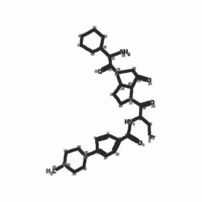 CC(C)CC(NC(=O)c1ccc(N2CCN(C)CC2)cc1)C(=O)N1CCC2C1C(=O)CN2C(=O)C(N)C1CCCCC1